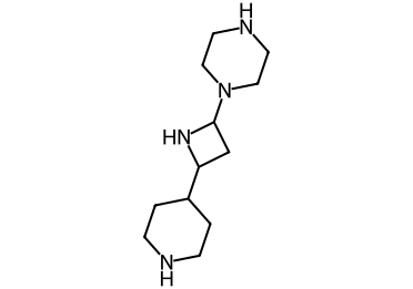 C1CC(C2CC(N3CCNCC3)N2)CCN1